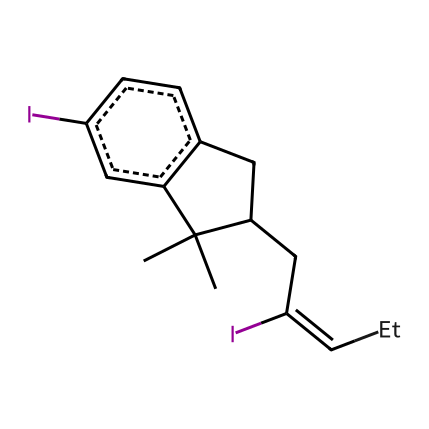 CC/C=C(/I)CC1Cc2ccc(I)cc2C1(C)C